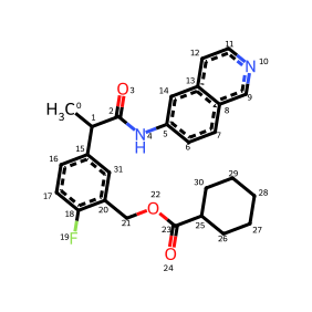 CC(C(=O)Nc1ccc2cnccc2c1)c1ccc(F)c(COC(=O)C2CCCCC2)c1